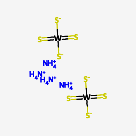 [NH4+].[NH4+].[NH4+].[NH4+].[S]=[W](=[S])([S-])[S-].[S]=[W](=[S])([S-])[S-]